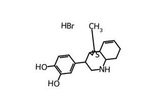 Br.CC1=CC2C(c3ccc(O)c(O)c3)CNC3CCC=CC32S1